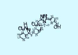 CC1CN(C(=O)c2cc(Cc3n[nH]c(=O)c4ccccc34)ccc2F)Cc2nnc(C3=CC=C(CO)C3)n21